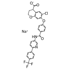 O=C(Nc1ccc(-c2ccc(C(F)(F)F)cc2)nc1)c1ccc(Oc2cc3c(cc2Cl)C(C(=O)[O-])CCO3)cc1.[Na+]